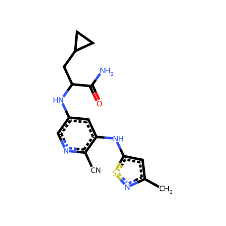 Cc1cc(Nc2cc(NC(CC3CC3)C(N)=O)cnc2C#N)sn1